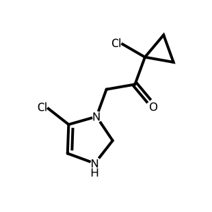 O=C(CN1CNC=C1Cl)C1(Cl)CC1